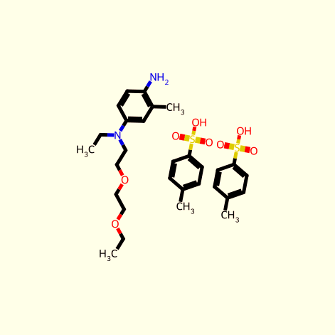 CCOCCOCCN(CC)c1ccc(N)c(C)c1.Cc1ccc(S(=O)(=O)O)cc1.Cc1ccc(S(=O)(=O)O)cc1